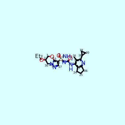 CCOC1COc2c(S(N)(=O)=NC(=O)Nc3c(C)c(C4CC4)nc4c3CCC4)cnn2C1